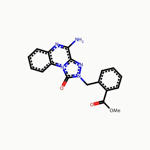 COC(=O)c1ccccc1Cn1nc2c(N)nc3ccccc3n2c1=O